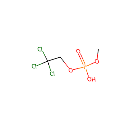 COP(=O)(O)OCC(Cl)(Cl)Cl